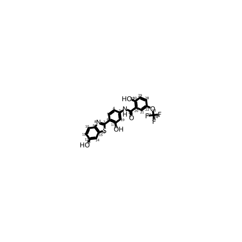 O=C(Nc1ccc(-c2nc3ccc(O)cc3s2)c(O)c1)c1cc(OC(F)(F)F)ccc1O